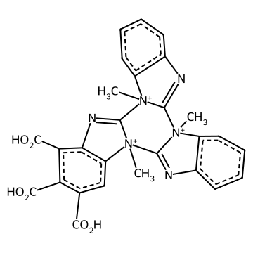 C[N+]12C(=Nc3ccccc31)[N+]1(C)C(=Nc3ccccc31)[N+]1(C)C2=Nc2c1cc(C(=O)O)c(C(=O)O)c2C(=O)O